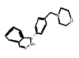 C1=NN[C@@H](c2ccc(CN3CCOCC3)cc2)c2ccccc21